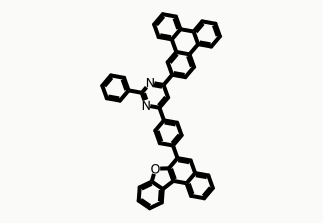 c1ccc(-c2nc(-c3ccc(-c4cc5ccccc5c5c4oc4ccccc45)cc3)cc(-c3ccc4c5ccccc5c5ccccc5c4c3)n2)cc1